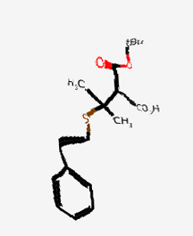 CC(C)(C)OC(=O)[C@@H](C(=O)O)C(C)(C)SC=Cc1ccccc1